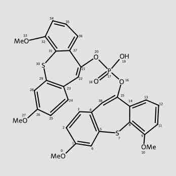 COc1ccc2c(c1)Sc1c(OC)cccc1C(OP(=O)(O)OC1=Cc3ccc(OC)cc3Sc3c(OC)cccc31)=C2